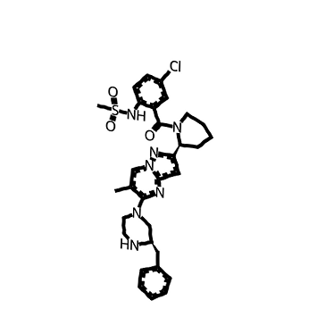 Cc1cn2nc([C@@H]3CCCCN3C(=O)c3cc(Cl)ccc3NS(C)(=O)=O)cc2nc1N1CCN[C@H](Cc2ccccc2)C1